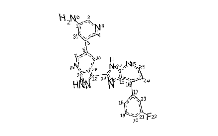 Nc1cncc(-c2cnc3[nH]nc(-c4nc5c(-c6cccc(F)c6)ccnc5[nH]4)c3c2)c1